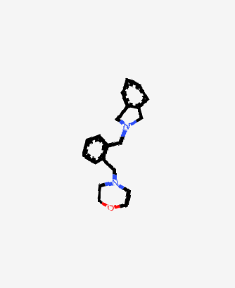 c1ccc(CN2Cc3ccccc3C2)c(CN2CCOCC2)c1